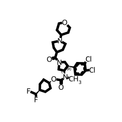 CN(C(=O)O[C@H]1CC[C@H](C(F)F)CC1)[C@@H]1CN(C(=O)C2CCN(C3CCOCC3)CC2)C[C@H]1c1ccc(Cl)c(Cl)c1